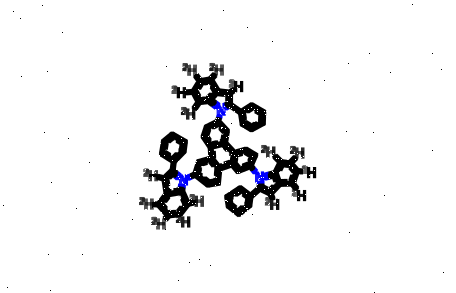 [2H]c1c([2H])c([2H])c2c(c1[2H])c([2H])c(-c1ccccc1)n2-c1ccc2c(c1)c1ccc(-n3c(-c4ccccc4)c([2H])c4c([2H])c([2H])c([2H])c([2H])c43)cc1c1ccc(-n3c(-c4ccccc4)c([2H])c4c([2H])c([2H])c([2H])c([2H])c43)cc21